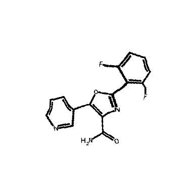 NC(=O)c1nc(-c2c(F)cccc2F)oc1-c1cccnc1